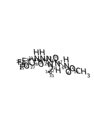 CCOC(=O)NCCNC(=O)C1=NC(NC(=O)Nc2ccc(OC(F)(F)F)cc2)CN1CC1CC1